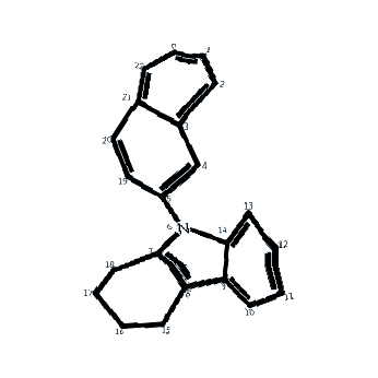 c1ccc2cc(-n3c4c(c5ccccc53)CCCC4)ccc2c1